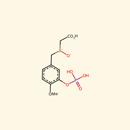 COc1ccc(C[S+]([O-])CC(=O)O)cc1OP(=O)(O)O